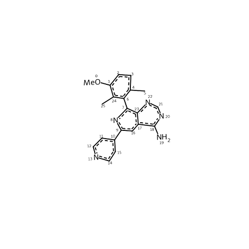 COc1ccc(C)c(-c2nc(-c3ccncc3)cc3c(N)ncnc23)c1C